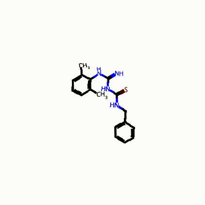 Cc1cccc(C)c1NC(=N)NC(=S)NCc1ccccc1